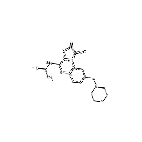 CC(C)Nc1nc2ccc(CN3CCOCC3)cc2n2c(=O)[nH]nc12